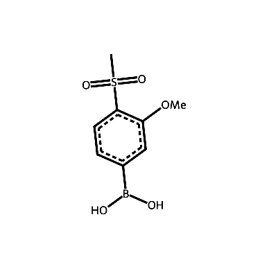 COc1cc(B(O)O)ccc1S(C)(=O)=O